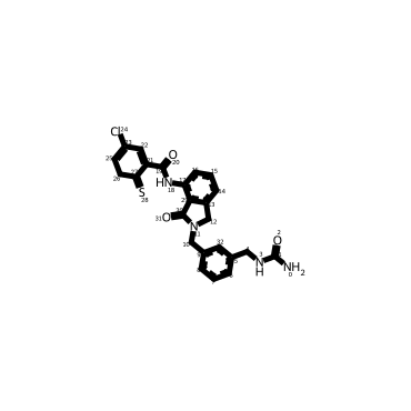 NC(=O)NCc1cccc(CN2Cc3cccc(NC(=O)C4=CC(Cl)=CCC4=S)c3C2=O)c1